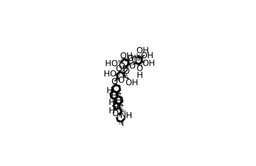 C[C@H]1CC[C@]2(NC1)O[C@H]1C[C@H]3[C@@H]4CC[C@H]5C[C@@H](O[C@@H]6O[C@H](CO)[C@H](O[C@H]7O[C@H](CO)[C@@H](O)[C@H](O)[C@H]7O[C@@H]7O[C@H](CO)[C@@H](O)[C@H](O)[C@H]7O)[C@H](O)[C@H]6O)CC[C@]5(C)[C@H]4CC[C@]3(C)[C@H]1[C@@H]2C